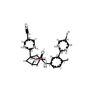 Cc1ccc(NC(=O)N2C3CC(C)CC2(c2ncc(C#N)cn2)C3)cc1-c1ncc(F)cn1